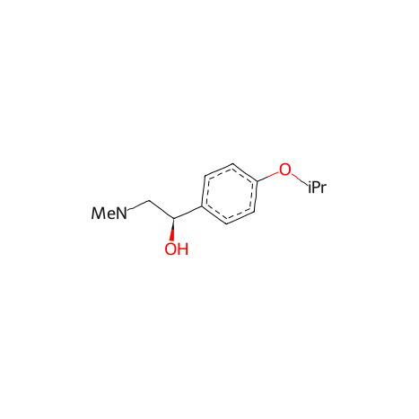 CNC[C@H](O)c1ccc(OC(C)C)cc1